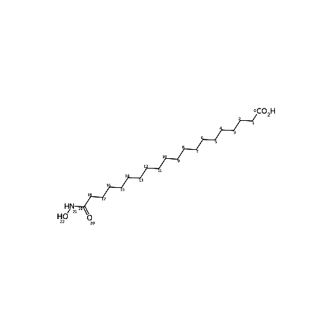 O=C(O)CCCCCCCCCCCCCCCCCCC(=O)NO